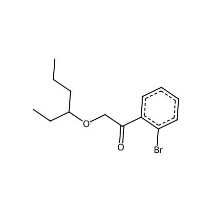 CCCC(CC)OCC(=O)c1ccccc1Br